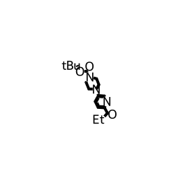 CCC(=O)c1ccc(N2CCN(C(=O)OC(C)(C)C)CC2)cn1